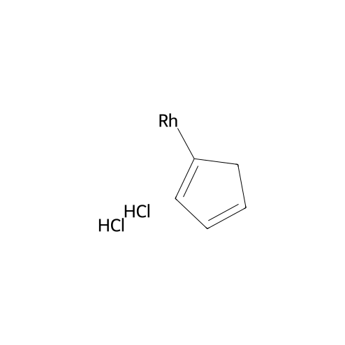 Cl.Cl.[Rh][C]1=CC=CC1